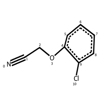 N#CCOc1ccccc1Cl